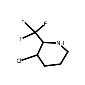 FC(F)(F)C1NCCCC1Cl